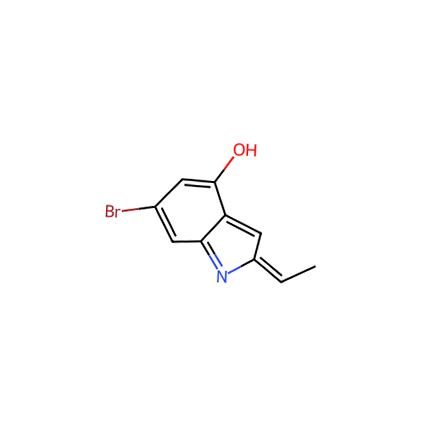 C/C=C1\C=c2c(O)cc(Br)cc2=N1